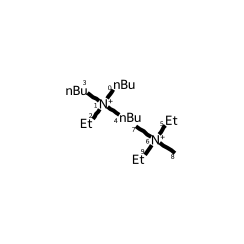 CCCC[N+](CC)(CCCC)CCCC.CC[N+](C)(C)CC